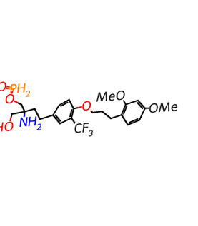 COc1ccc(CCCOc2ccc(CCC(N)(CO)CO[PH2]=O)cc2C(F)(F)F)c(OC)c1